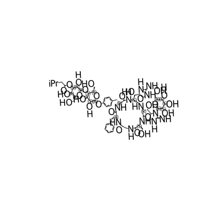 CC(C)CC(=O)O[C@@H]1[C@H](O)[C@@H](O[C@H]2[C@H](O)[C@H](O)[C@@H](Oc3ccc(C[C@H]4NC(=O)[C@H](Cc5ccccc5)NC(=O)CNC(=O)[C@H](CO)NC(=O)[C@@H](C(O)C5CNC(=N)N5[C@H]5O[C@H](CO)[C@@H](O)[C@H](O)[C@@H]5O)NC(=O)[C@H](C(O)C5CNC(=N)N5)NC4=O)cc3)O[C@@H]2CO)O[C@H](CO)[C@H]1O